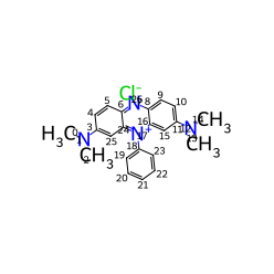 CN(C)c1ccc2nc3ccc(N(C)C)cc3[n+](-c3ccccc3)c2c1.[Cl-]